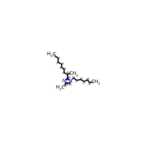 CCCCCCCCC(C)c1nc(C)cn1CCCCCCC